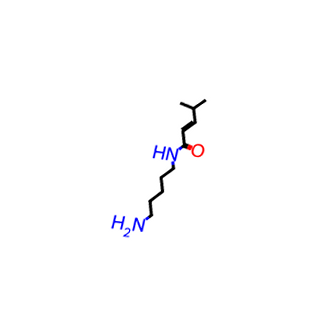 CC(C)/C=C/C(=O)NCCCCCN